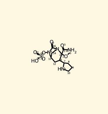 COC1(C(N)=O)C(C2CCCN2)CC2CN1C(=O)N2OS(=O)(=O)O